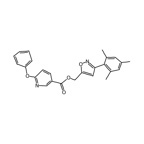 Cc1cc(C)c(-c2cc(COC(=O)c3ccc(Oc4ccccc4)nc3)on2)c(C)c1